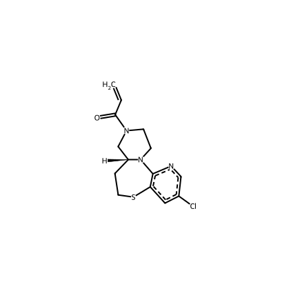 C=CC(=O)N1CCN2c3ncc(Cl)cc3SCC[C@@H]2C1